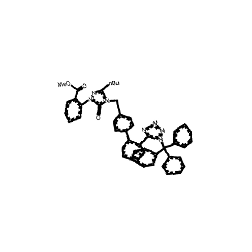 CCCCc1nn(-c2ccccc2C(=O)OC)c(=O)n1Cc1ccc(-c2ccccc2-c2nnnn2C(c2ccccc2)(c2ccccc2)c2ccccc2)cc1